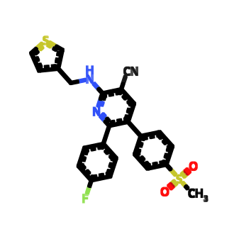 CS(=O)(=O)c1ccc(-c2cc(C#N)c(NCc3ccsc3)nc2-c2ccc(F)cc2)cc1